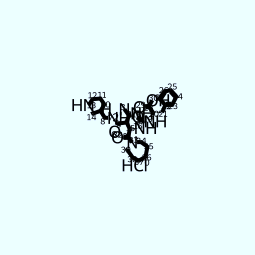 Cl.N=C(N)C(C(=O)NCC1CCCNC1)[C@H](NC(=O)N[C@@H](Cc1ccccc1)C(=O)O)C(=O)N1CCCCCC1